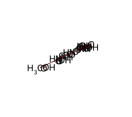 CCCCC(CCCCCCCCCCCCCC(=O)N[C@@H](CCC(=O)NCCOCCOCC(=O)NCCOCCOCC(=O)N[C@@H](CCC(=O)N[C@@H](CC[C]=O)C(=O)O)C(=O)O)C(=O)O)C(=O)O